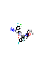 C[C@@H]1CN(C2CC(C(=O)N3CCC(c4cc(Cl)c(F)cc4[C@@H](C)n4cnnn4)CC3)C(c3ccc(F)cc3F)C2)[C@H](C)CO1